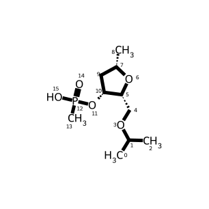 CC(C)OC[C@H]1O[C@@H](C)C[C@H]1OP(C)(=O)O